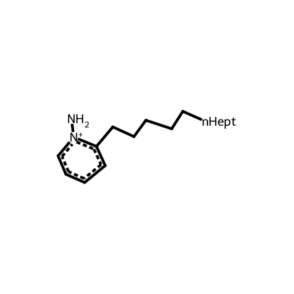 CCCCCCCCCCCCc1cccc[n+]1N